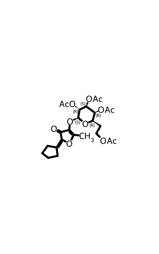 CC(=O)OCC[C@H]1O[C@@H](OC2=C(C)OC(=C3CCCC3)C2=O)[C@H](OC(C)=O)[C@@H](OC(C)=O)[C@@H]1OC(C)=O